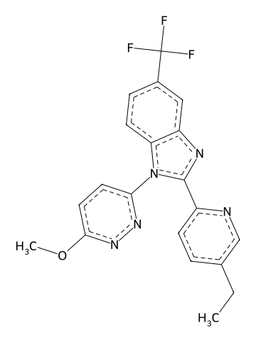 CCc1ccc(-c2nc3cc(C(F)(F)F)ccc3n2-c2ccc(OC)nn2)nc1